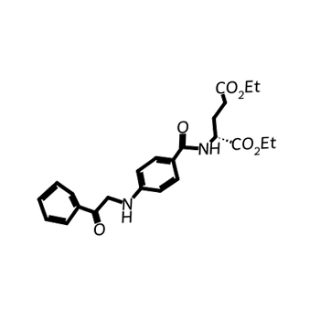 CCOC(=O)CC[C@@H](NC(=O)c1ccc(NCC(=O)c2ccccc2)cc1)C(=O)OCC